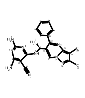 C[C@H](Nc1nc(N)nc(N)c1C#N)c1cn2nc(Cl)c(Cl)c2nc1-c1ccccc1